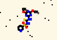 COc1nc(NC(=S)NS(=O)(=O)c2cccnc2)nc(OC)n1